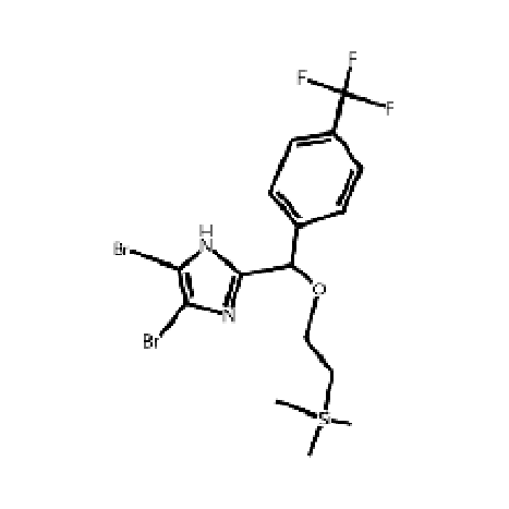 C[Si](C)(C)CCOC(c1ccc(C(F)(F)F)cc1)c1nc(Br)c(Br)[nH]1